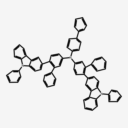 c1ccc(-c2ccc(N(c3ccc(-c4ccc5c(c4)c4ccccc4n5-c4ccccc4)c(-c4ccccc4)c3)c3ccc(-c4ccc5c(c4)c4ccccc4n5-c4ccccc4)c(-c4ccccc4)c3)cc2)cc1